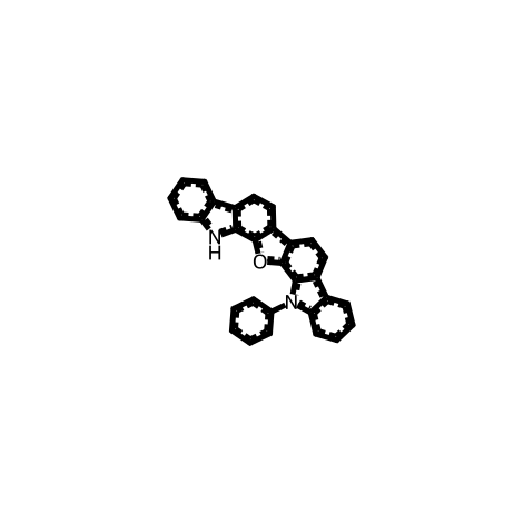 c1ccc(-n2c3ccccc3c3ccc4c5ccc6c7ccccc7[nH]c6c5oc4c32)cc1